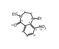 CCN1CCN(CC)c2c(cccc2[N+](=O)[O-])C1=O